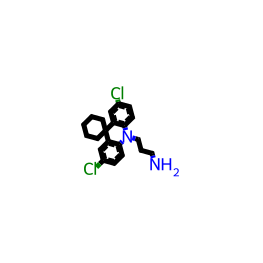 NCCCN1c2ccc(Cl)cc2C2(CCCCC2)c2cc(Cl)ccc21